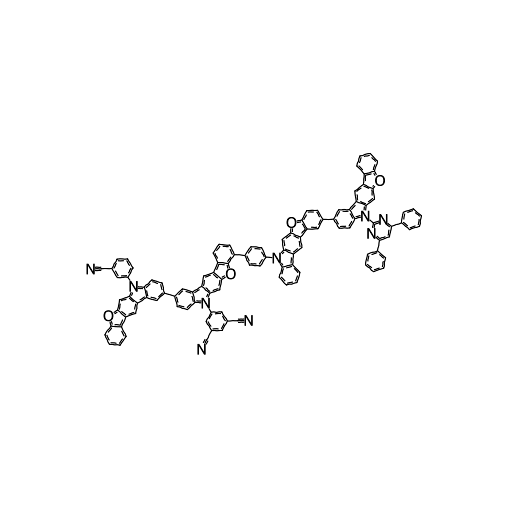 N#Cc1cccc(-n2c3ccc(-c4ccc5c(c4)c4cc6c(cc4n5-c4cc(C#N)cc(C#N)c4)oc4c(-c5ccc(-n7c8ccccc8c8cc9c(cc87)oc7ccc(-c8ccc%10c(c8)c8cc%11c(cc8n%10-c8nc(-c%10ccccc%10)cc(-c%10ccccc%10)n8)oc8ccccc8%11)cc79)cc5)cccc46)cc3c3cc4c(cc32)oc2ccccc24)c1